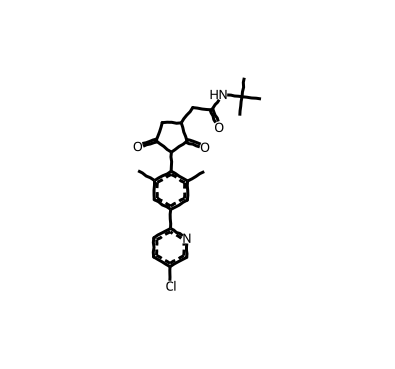 Cc1cc(-c2ccc(Cl)cn2)cc(C)c1C1C(=O)CC(CC(=O)NC(C)(C)C)C1=O